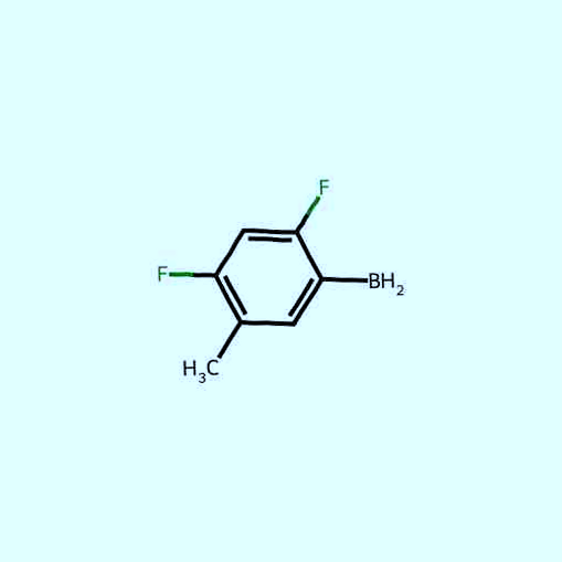 Bc1cc(C)c(F)cc1F